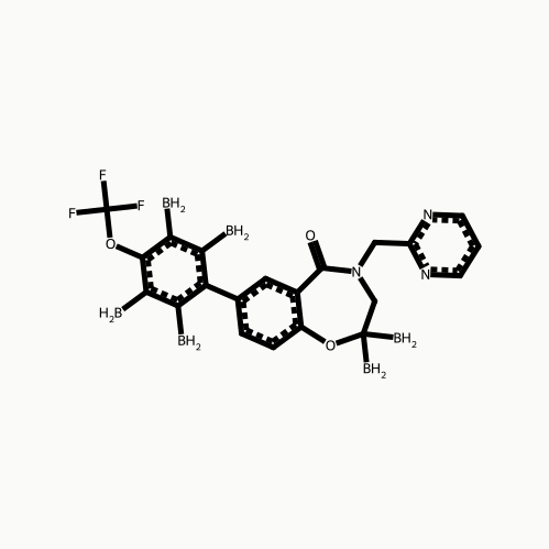 Bc1c(B)c(-c2ccc3c(c2)C(=O)N(Cc2ncccn2)CC(B)(B)O3)c(B)c(B)c1OC(F)(F)F